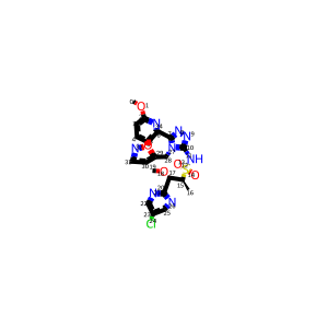 COc1cccc(-c2nnc(NS(=O)(=O)[C@@H](C)[C@H](OC)c3ncc(Cl)cn3)n2Cc2ccno2)n1